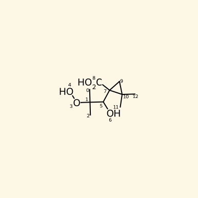 CC(C)(OO)C(O)C1(C(=O)O)CC1(C)C